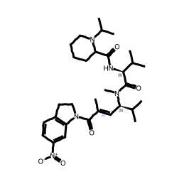 C/C(=C\[C@H](C(C)C)N(C)C(=O)[C@@H](NC(=O)C1CCCCN1C(C)C)C(C)C)C(=O)N1CCc2ccc([N+](=O)[O-])cc21